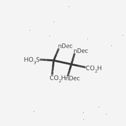 CCCCCCCCCCC(CCCCCCCCCC)(C(=O)O)C(CCCCCCCCCC)(C(=O)O)S(=O)(=O)O